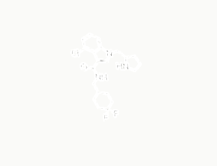 O=C(NCC1CCC(F)(F)CC1)c1cn(C[C@@H]2CCCN2)c2cccc(Cl)c12